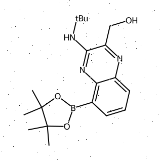 CC(C)(C)Nc1nc2c(B3OC(C)(C)C(C)(C)O3)cccc2nc1CO